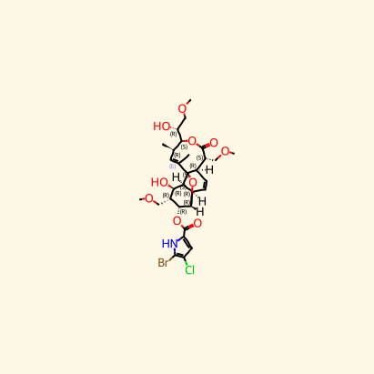 COC[C@@H]1[C@@H](O)[C@@H]2[C@H]3C=C[C@@H]4[C@@H](COC)C(=O)O[C@H]([C@H](O)COC)[C@H](C)/C=C(\C)[C@@]24O[C@H]3[C@@H]1OC(=O)c1cc(Cl)c(Br)[nH]1